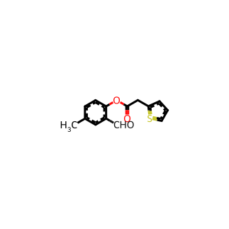 Cc1ccc(OC(=O)Cc2cccs2)c(C=O)c1